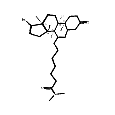 CN(C)C(=O)CCCCCCC1CC2CC(=O)CC[C@]2(C)[C@@H]2CC[C@]3(C)C(O)CC[C@H]3[C@H]12